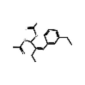 CCC(=Cc1cccc(CC)c1)C(OC(C)=O)OC(C)=O